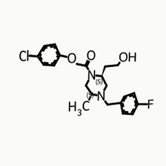 C[C@H]1CN(C(=O)COc2ccc(Cl)cc2)[C@@H](CCO)CN1Cc1ccc(F)cc1